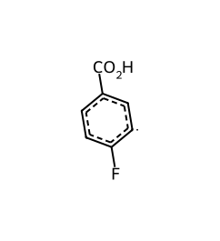 O=C(O)c1c[c]c(F)cc1